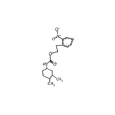 CC1CCC(NC(=O)OCCc2ccccc2[N+](=O)[O-])CC1C